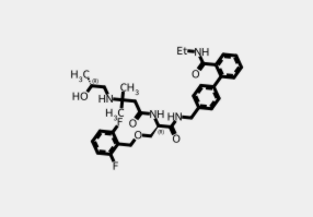 CCNC(=O)c1ccccc1-c1ccc(CNC(=O)[C@@H](COCc2c(F)cccc2F)NC(=O)CC(C)(C)NC[C@@H](C)O)cc1